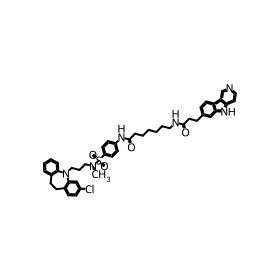 CN(CCCN1c2ccccc2CCc2ccc(Cl)cc21)S(=O)(=O)c1ccc(NC(=O)CCCCCCNC(=O)CCc2ccc3c(c2)[nH]c2ccncc23)cc1